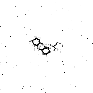 CC(C)Sc1cccc2c1Nc1ccccc1N2